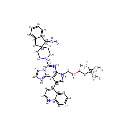 C[Si](C)(C)CCOCn1cc(-c2ccnc3ccccc23)c2c1nc(N1CCC3(CC1)Cc1ccccc1[C@H]3N)n1ccnc21